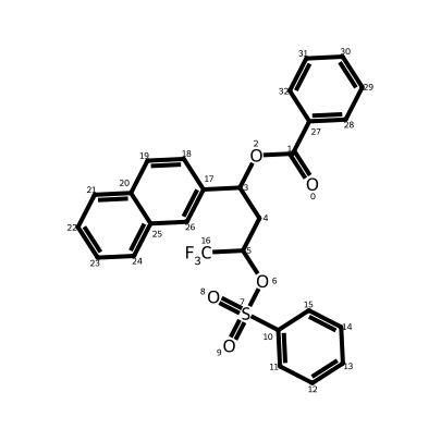 O=C(OC(CC(OS(=O)(=O)c1ccccc1)C(F)(F)F)c1ccc2ccccc2c1)c1ccccc1